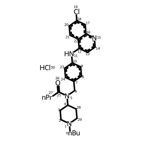 CCCCN1CCC(N(Cc2ccc(Nc3ccnc4cc(Cl)ccc34)cc2)C(=O)CCC)CC1.Cl